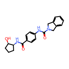 O=C(N[C@H]1CCC[C@H]1O)c1ccc(NC(=O)N2Cc3ccccc3C2)cc1